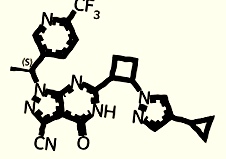 C[C@@H](c1ccc(C(F)(F)F)nc1)n1nc(C#N)c2c(=O)[nH]c(C3CCC3n3cc(C4CC4)cn3)nc21